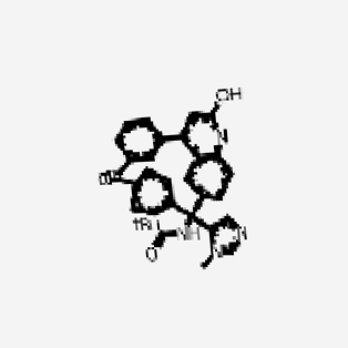 Cn1cncc1C(NC(=O)C(C)(C)C)(c1ccc(Cl)cc1)c1ccc2nc(O)cc(-c3cccc(Cl)c3)c2c1